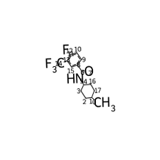 CC1CCC(NC(=O)c2ccc(F)c(C(F)(F)F)c2)CC1